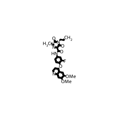 C=CCn1c(=O)c(C(=O)Nc2ccc(Oc3ccnc4cc(OC)c(OC)cc34)c(F)c2)nn(C)c1=O